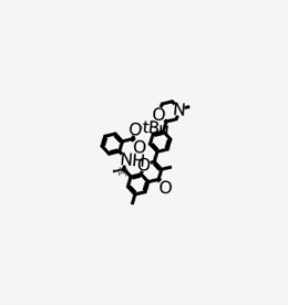 Cc1cc([C@@H](C)Nc2ccccc2C(=O)OC(C)(C)C)c2oc(-c3ccc(C4CN(C)CCO4)cc3)c(C)c(=O)c2c1